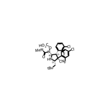 CNC(=O)N(OC(=O)O)[C@H]1N[C@@H](CC(C)(C)C)[C@](C#N)(c2ccc(Cl)cc2F)[C@H]1c1cccc(Cl)c1F